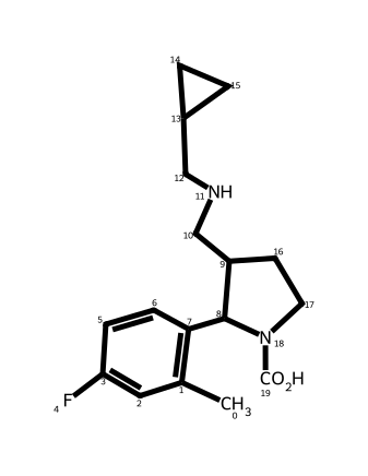 Cc1cc(F)ccc1C1C(CNCC2CC2)CCN1C(=O)O